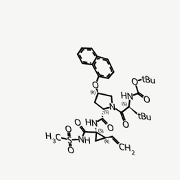 C=C[C@H]1C[C@@]1(NC(=O)[C@@H]1C[C@@H](Oc2cccc3ccccc23)CN1C(=O)[C@@H](NC(=O)OC(C)(C)C)C(C)(C)C)C(=O)NS(C)(=O)=O